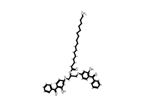 CCCCCCCCCCCCCCCCCC(=O)OC(COc1ccc(C(=O)c2ccccc2)c(O)c1)COc1ccc(C(=O)c2ccccc2)c(O)c1